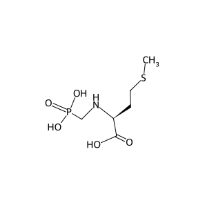 CSCC[C@H](NCP(=O)(O)O)C(=O)O